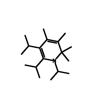 CC1=C(C)C(C)(C)N(C(C)C)C(C(C)C)=C1C(C)C